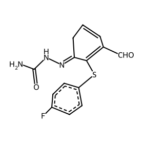 NC(=O)NN=C1CC=CC(C=O)=C1Sc1ccc(F)cc1